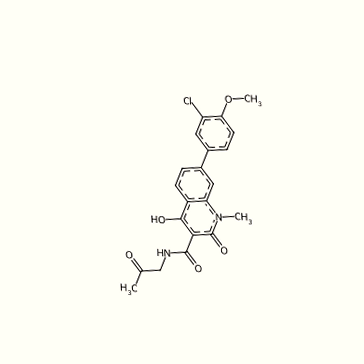 COc1ccc(-c2ccc3c(O)c(C(=O)NCC(C)=O)c(=O)n(C)c3c2)cc1Cl